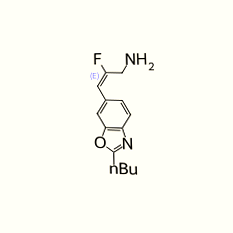 CCCCc1nc2ccc(/C=C(/F)CN)cc2o1